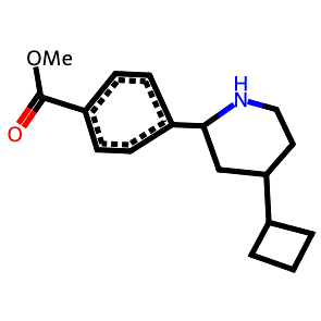 COC(=O)c1ccc(C2CC(C3CCC3)CCN2)cc1